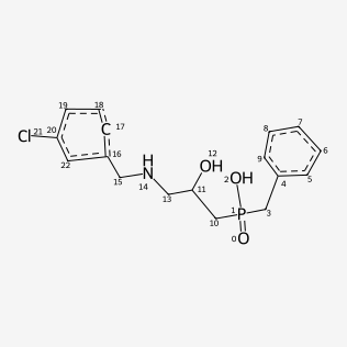 O=P(O)(Cc1ccccc1)CC(O)CNCc1cccc(Cl)c1